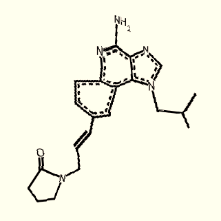 CC(C)Cn1cnc2c(N)nc3ccc(/C=C/CN4CCCC4=O)cc3c21